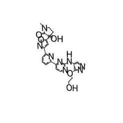 CN1CC[C@@](O)(c2cc(-c3cccc(-c4ccnc(Nc5cn(C)nc5OCCO)n4)n3)no2)C1=O